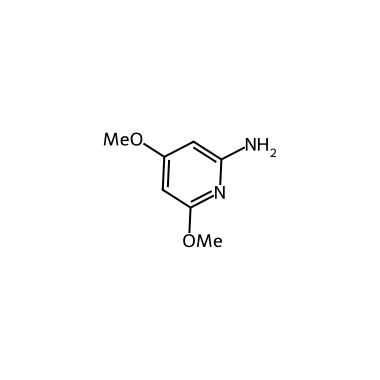 COc1cc(N)nc(OC)c1